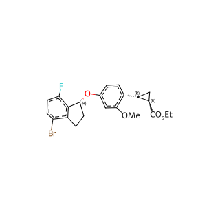 CCOC(=O)[C@@H]1C[C@H]1c1ccc(O[C@@H]2CCc3c(Br)ccc(F)c32)cc1OC